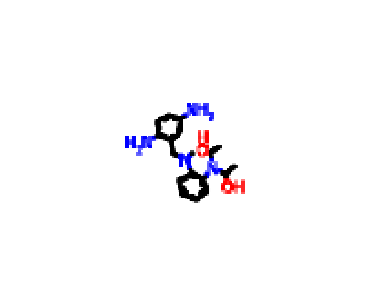 CC(O)N(c1ccccc1N(C)Cc1cc(N)ccc1N)C(C)O